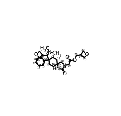 CN(C)C(C1COC1)C1(c2ccccc2)CCC2(CC1)CN(CC(=O)OCC1COC1)C(=O)N2